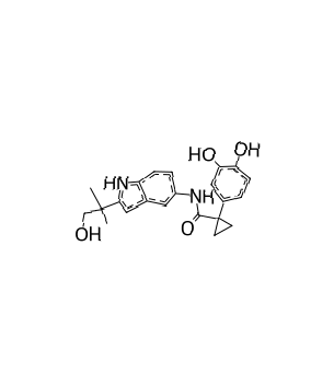 CC(C)(CO)c1cc2cc(NC(=O)C3(c4ccc(O)c(O)c4)CC3)ccc2[nH]1